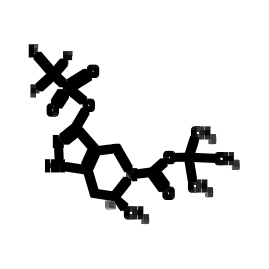 C[C@H]1Cc2[nH]nc(OS(=O)(=O)C(F)(F)F)c2CN1C(=O)OC(C)(C)C